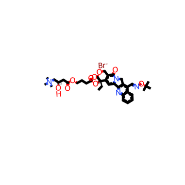 CC[C@@]1(OC(=O)CCCOC(=O)C[C@H](O)C[N+](C)(C)C)C(=O)OCc2c1cc1n(c2=O)Cc2c-1nc1ccccc1c2C=NOC(C)(C)C.[Br-]